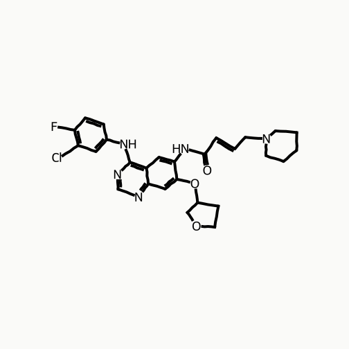 O=C(/C=C/CN1CCCCC1)Nc1cc2c(Nc3ccc(F)c(Cl)c3)ncnc2cc1OC1CCOC1